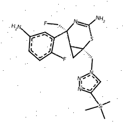 C[Si](C)(C)c1cn(C[C@]23CC2[C@@](CF)(c2cc(N)ccc2F)N=C(N)S3)nn1